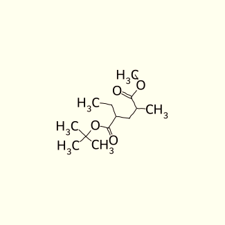 CCC(CC(C)C(=O)OC)C(=O)OC(C)(C)C